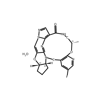 C[C@H]1CNC(=O)c2cnn3cc4c(nc23)N(Cc2cc(F)cnc2O1)[C@@H]1CCC[C@@H]1O4.O